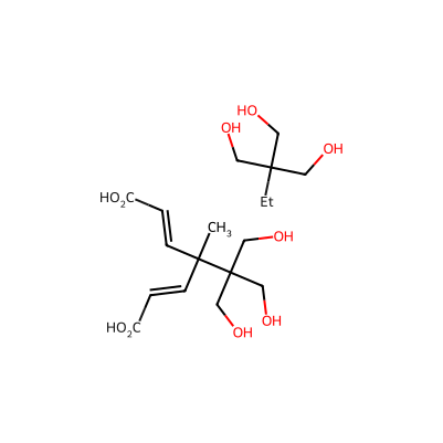 CC(C=CC(=O)O)(C=CC(=O)O)C(CO)(CO)CO.CCC(CO)(CO)CO